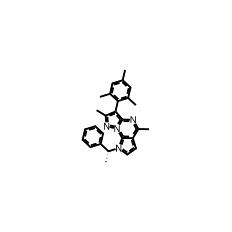 Cc1cc(C)c(-c2c(C)nn3c2nc(C)c2ccn([C@H](C)c4ccccc4)c23)c(C)c1